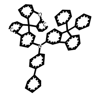 c1ccc(-c2ccc(N(c3ccc4c(c3)-c3ccccc3C4(c3ccccc3)c3ccccc3)c3ccc4c(c3)C3(c5ccccc5Oc5ccccc53)c3ccccc3-4)cc2)cc1